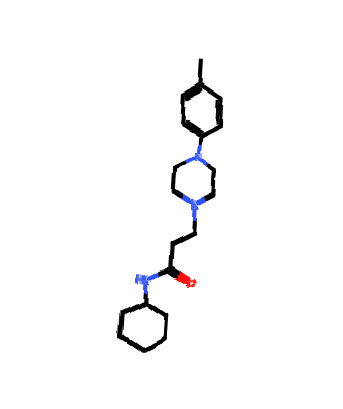 Cc1ccc(N2CCN(CCC(=O)NC3CCCCC3)CC2)cc1